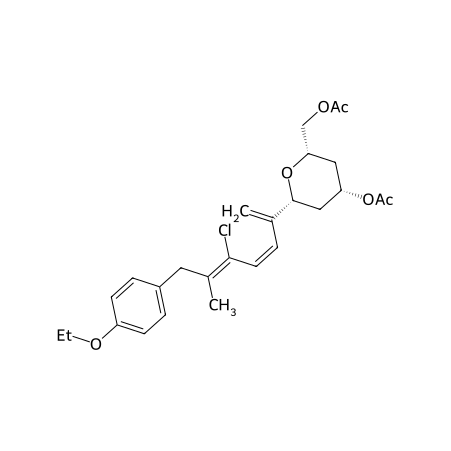 C=C(/C=C\C(Cl)=C(/C)Cc1ccc(OCC)cc1)[C@H]1C[C@@H](OC(C)=O)C[C@@H](COC(C)=O)O1